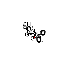 COc1ccc2nc(C(N=C(c3ccccc3)c3ccccc3)C(N)=O)cc(=O)n2c1